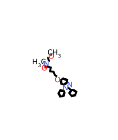 COCCN(C)C(=O)CCCCCOc1ccc2nc(-c3ccccc3)n(-c3ccccc3)c2c1